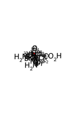 CC(C)[C@@H](C)[C@@]1(C)CC[C@]2(C)[C@H]3CC[C@@H]4[C@@]5(COC[C@@]4(C)[C@@H](OC[C@](C)(N)C(C)C)[C@H](n4nc(C(N)=O)nc4Br)C5)C3=CC[C@@]2(C)[C@@H]1C(=O)O